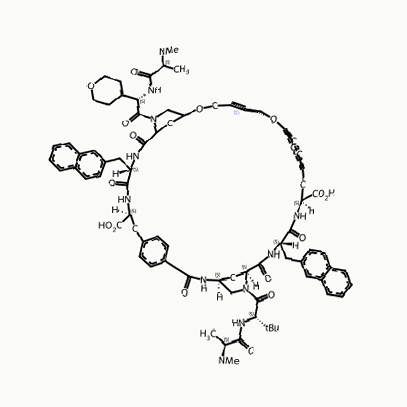 CN[C@@H](C)C(=O)N[C@H](C(=O)N1CC2CC1C(=O)N[C@@H](Cc1ccc3ccccc3c1)C(=O)N[C@H](C(=O)O)Cc1ccc(cc1)C(=O)N[C@H]1C[C@@H](C(=O)N[C@@H](Cc3ccc4ccccc4c3)C(=O)N[C@H](C(=O)O)Cc3ccc(cc3)OC/C=C/CO2)N(C(=O)[C@@H](NC(=O)[C@H](C)NC)C(C)(C)C)C1)C1CCOCC1